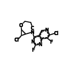 Fc1nc(N2CCCOC3C(Cl)C32)c2cnc(Cl)c(F)c2n1